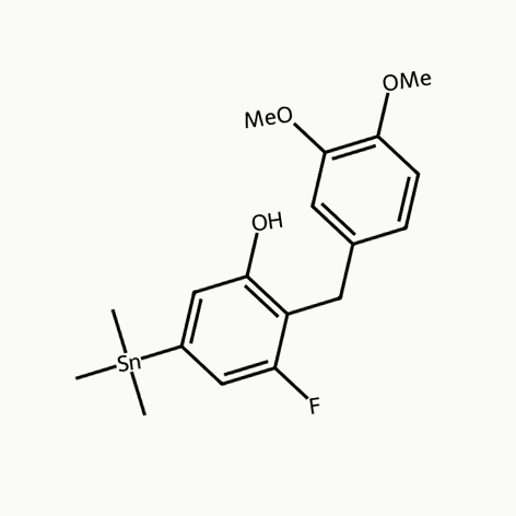 COc1ccc(Cc2c(O)c[c]([Sn]([CH3])([CH3])[CH3])cc2F)cc1OC